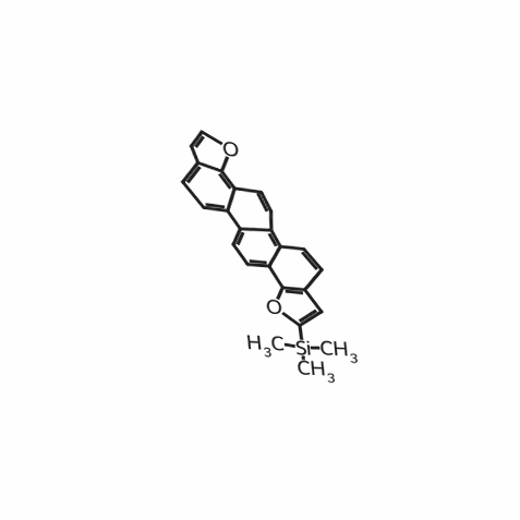 C[Si](C)(C)c1cc2ccc3c4ccc5c(ccc6ccoc65)c4ccc3c2o1